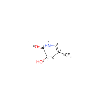 O=c1[nH]cc(C(F)(F)F)cc1O